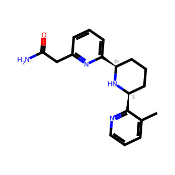 Cc1cccnc1[C@@H]1CCC[C@H](c2cccc(CC(N)=O)n2)N1